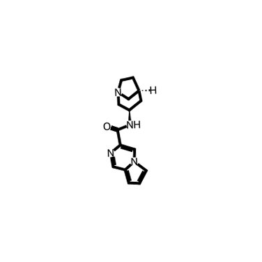 O=C(N[C@@H]1C[C@@H]2CCN(C2)C1)c1cn2cccc2cn1